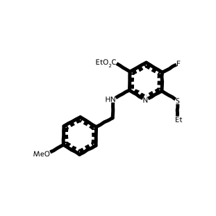 CCOC(=O)c1cc(F)c(SCC)nc1NCc1ccc(OC)cc1